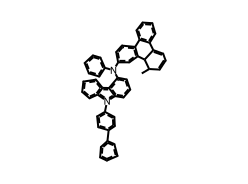 CC1C=CC=C2c3ccccc3-c3ccc(N(c4ccccc4)c4cccc5c4c4ccccc4n5-c4ccc(-c5ccccc5)cc4)cc3C21